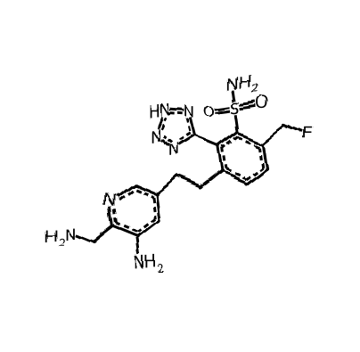 NCc1ncc(CCc2ccc(CF)c(S(N)(=O)=O)c2-c2nn[nH]n2)cc1N